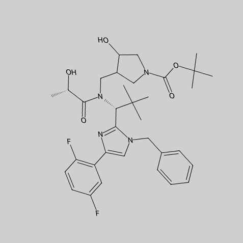 C[C@H](O)C(=O)N(CC1CN(C(=O)OC(C)(C)C)CC1O)[C@@H](c1nc(-c2cc(F)ccc2F)cn1Cc1ccccc1)C(C)(C)C